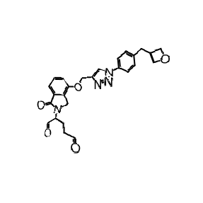 O=CCCC(C=O)N1Cc2c(OCc3cn(-c4ccc(CC5COC5)cc4)nn3)cccc2C1=O